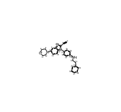 C#Cc1nc2cc(N3CCOCC3)ccc2n1-c1ccc(NCCc2ccccc2)cc1